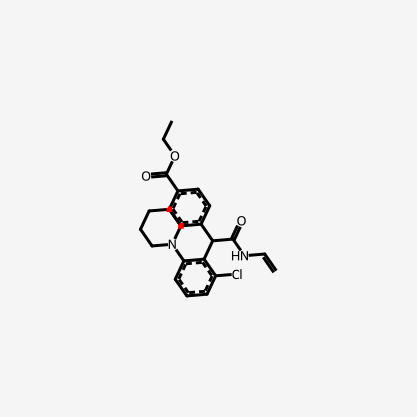 C=CNC(=O)C(c1ccc(C(=O)OCC)cc1)c1c(Cl)cccc1N1CCCCC1